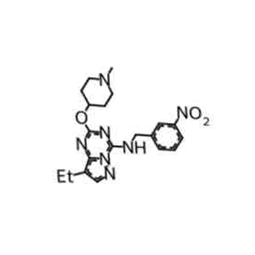 CCc1cnn2c(NCc3cccc([N+](=O)[O-])c3)nc(OC3CCN(C)CC3)nc12